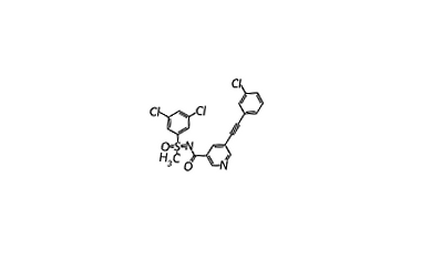 CS(=O)(=NC(=O)c1cncc(C#Cc2cccc(Cl)c2)c1)c1cc(Cl)cc(Cl)c1